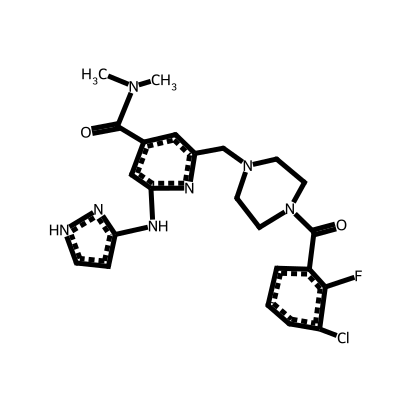 CN(C)C(=O)c1cc(CN2CCN(C(=O)c3cccc(Cl)c3F)CC2)nc(Nc2cc[nH]n2)c1